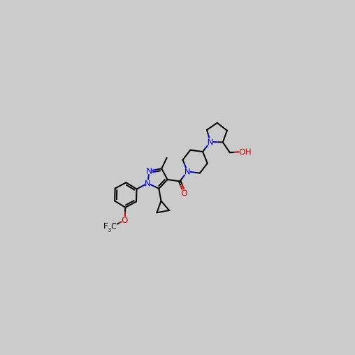 Cc1nn(-c2cccc(OC(F)(F)F)c2)c(C2CC2)c1C(=O)N1CCC(N2CCCC2CO)CC1